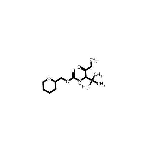 CCC(=O)C(NC(=O)OCC1CCCCO1)C(C)(C)C